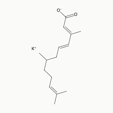 CC(C)=CCCC(C)CC=CC(C)=CC(=O)[O-].[K+]